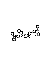 C=C(c1ccccc1)c1ccc(-c2ccc3c(c2)sc2ccc(/C(=C/c4ccc5c(c4)c4ccccc4n5-c4ccccc4)c4ccc5ccccc5c4)cc23)cc1-c1ccccc1C